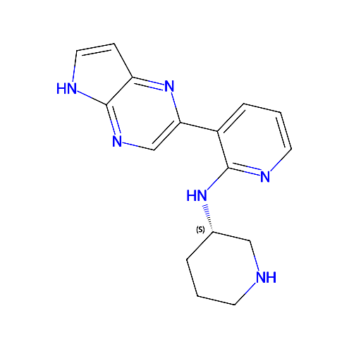 c1cnc(N[C@H]2CCCNC2)c(-c2cnc3[nH]ccc3n2)c1